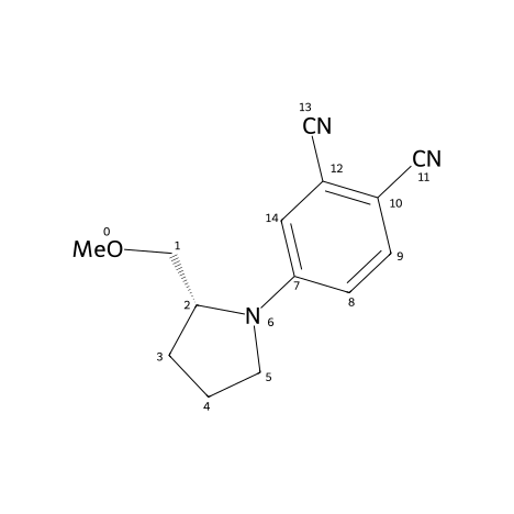 COC[C@H]1CCCN1c1ccc(C#N)c(C#N)c1